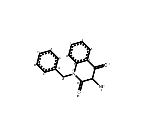 [C-]#[N+]C1C(=O)c2ccccc2N(Cc2ccccc2)C1=O